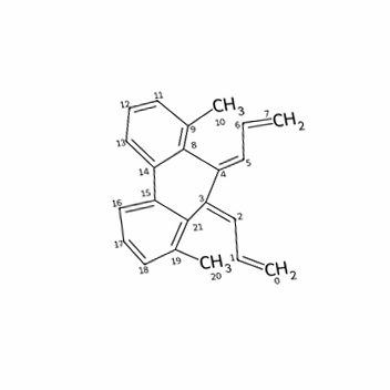 C=C/C=c1/c(=C/C=C)c2c(C)cccc2c2cccc(C)c12